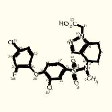 CN([C@@H]1CCCc2c1cnn2CC(=O)O)S(=O)(=O)c1ccc(Oc2ccc(Cl)cc2F)c(Cl)c1